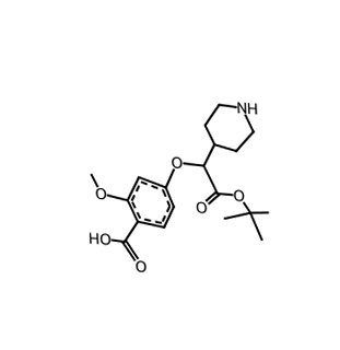 COc1cc(OC(C(=O)OC(C)(C)C)C2CCNCC2)ccc1C(=O)O